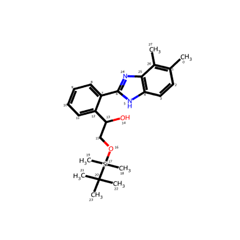 Cc1ccc2[nH]c(-c3ccccc3C(O)CO[Si](C)(C)C(C)(C)C)nc2c1C